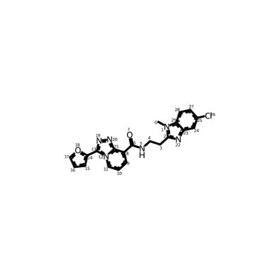 Cn1c(CCNC(=O)c2cccn3c(-c4ccco4)nnc23)nc2cc(Cl)ccc21